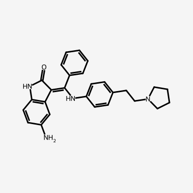 Nc1ccc2c(c1)C(=C(Nc1ccc(CCN3CCCC3)cc1)c1ccccc1)C(=O)N2